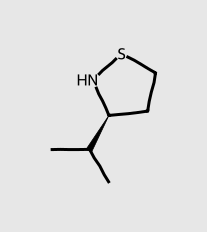 CC(C)[C@@H]1CCSN1